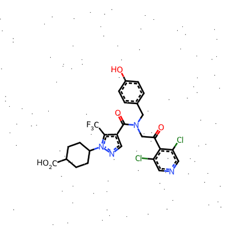 O=C(CN(Cc1ccc(O)cc1)C(=O)c1cnn(C2CCC(C(=O)O)CC2)c1C(F)(F)F)c1c(Cl)cncc1Cl